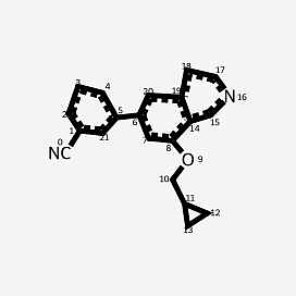 N#Cc1cccc(-c2cc(OCC3CC3)c3cnccc3c2)c1